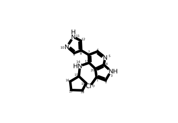 Clc1c[nH]c2ncc(-c3cn[nH]c3)c(NC3CCCC3)c12